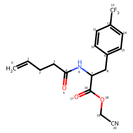 C=CCCC(=O)NC(Cc1ccc(C(F)(F)F)cc1)C(=O)OCC#N